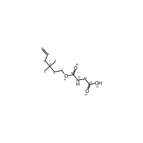 C=CCC(C)(C)CCOC(=O)NCC(=O)O